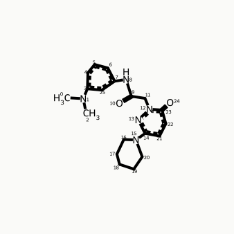 CN(C)c1cccc(NC(=O)Cn2nc(N3CCCCC3)ccc2=O)c1